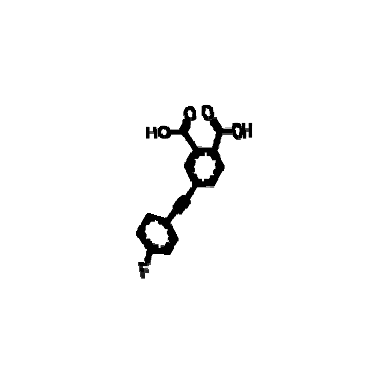 O=C(O)c1ccc(C#Cc2ccc(F)cc2)cc1C(=O)O